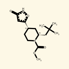 COC(=O)N1CC[C@H](c2cc(=O)[nH]o2)C[C@@H]1CC(C)(C)C